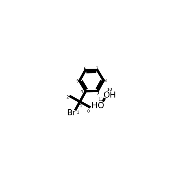 CC(C)(Br)c1ccccc1.OO